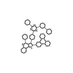 c1ccc(-c2cccc(-c3nc(-c4ccccc4)nc(-c4ccc(-c5c(-c6ccc7c8ccccc8c8ccccc8c7c6)sc6c5c(-c5ccccc5)nc5ccccc56)cc4)n3)c2)cc1